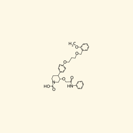 COc1ccccc1COCCCOc1ccc(C2CCN(C(=O)O)CC2OCC(=O)Nc2ccccc2)cc1